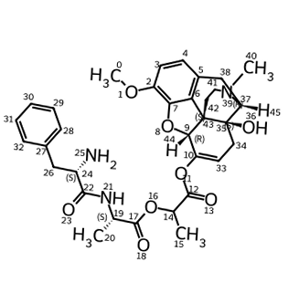 COc1ccc2c3c1O[C@H]1C(OC(=O)C(C)OC(=O)[C@H](C)NC(=O)[C@@H](N)Cc4ccccc4)=CC[C@@]4(O)[C@@H](C2)N(C)CC[C@]314